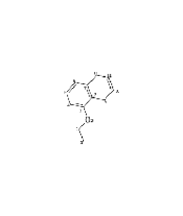 CCOc1cccc2c1CC=C[CH]2